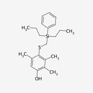 CCC[Si](CCC)(CSc1c(C)cc(O)c(C)c1C)c1ccccc1